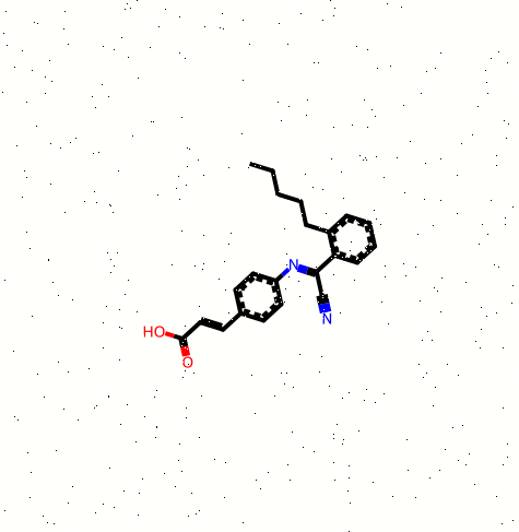 CCCCCc1ccccc1C(C#N)=Nc1ccc(C=CC(=O)O)cc1